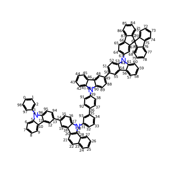 c1ccc(-n2c3ccccc3c3cc(-c4ccc5c(c4)c4ccc6ccccc6c4n5-c4cccc(-c5ccc(-n6c7ccccc7c7cc(-c8ccc9c(c8)c8ccccc8n9-c8ccc9c(c8)C8(c%10ccccc%10-c%10ccccc%108)c8ccccc8-9)ccc76)cc5)c4)ccc32)cc1